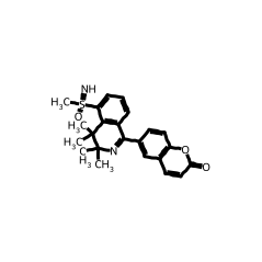 CC1(C)N=C(c2ccc3oc(=O)ccc3c2)c2cccc(S(C)(=N)=O)c2C1(C)C